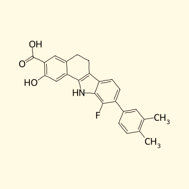 Cc1ccc(-c2ccc3c4c([nH]c3c2F)-c2cc(O)c(C(=O)O)cc2CC4)cc1C